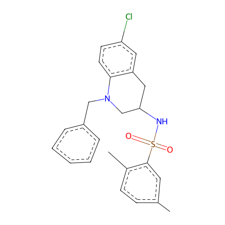 Cc1ccc(C)c(S(=O)(=O)NC2Cc3cc(Cl)ccc3N(Cc3ccccc3)C2)c1